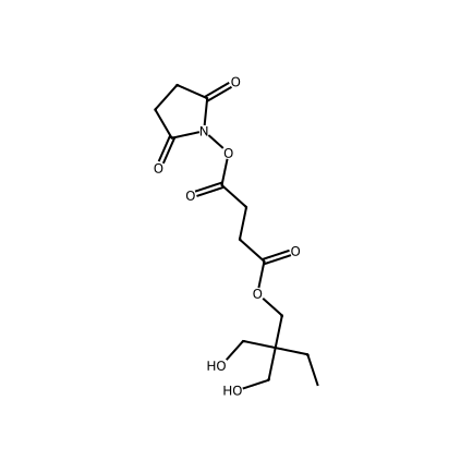 CCC(CO)(CO)COC(=O)CCC(=O)ON1C(=O)CCC1=O